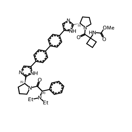 CCN(CC)[C@@H](C(=O)N1CCC[C@H]1c1ncc(-c2ccc(-c3ccc(-c4cnc([C@@H]5CCCN5C(=O)C5(NC(=O)OC)CCC5)[nH]4)cc3)cc2)[nH]1)c1ccccc1